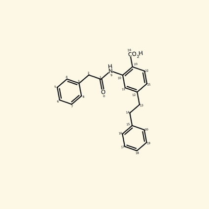 O=C(Cc1ccccc1)Nc1cc(CCc2ccccc2)ccc1C(=O)O